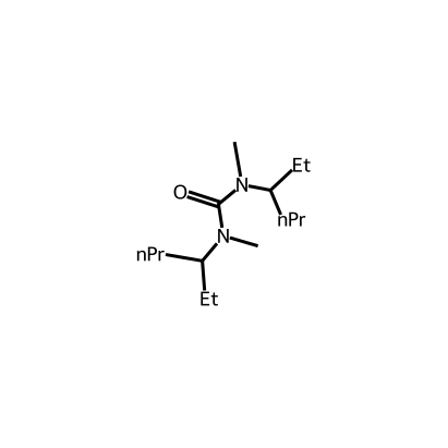 CCCC(CC)N(C)C(=O)N(C)C(CC)CCC